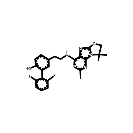 CC1(C)COc2nc3c(NCCc4ccc(O)c(-c5c(F)cccc5F)c4)nc(I)nc3n21